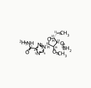 [2H]NC(=O)c1ncn([C@@H]2O[C@H](CC)[C@H](OB)C2OC)n1